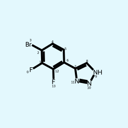 Fc1c(Br)ccc(-c2c[nH]nn2)c1F